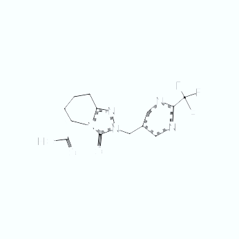 O=C(O)[C@@H]1CCCc2nn(Cc3cnc(C(F)(F)F)nc3)c(=O)n21